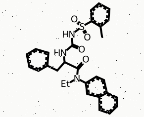 CCN(C(=O)C(Cc1ccccc1)NC(=O)NS(=O)(=O)c1ccccc1C)c1ccc2ccccc2c1